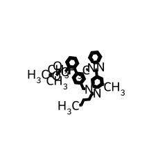 CCCCc1nc2c(C)cc(-c3nc4ccccc4n3C)cc2n1Cc1ccc(-c2ccccc2OC(=O)OC(C)(C)C)cc1